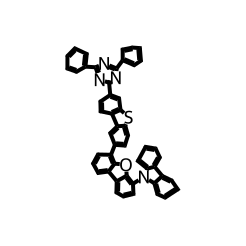 c1ccc(-c2nc(-c3ccccc3)nc(-c3ccc4c(c3)sc3ccc(-c5cccc6c5oc5c(-n7c8ccccc8c8ccccc87)cccc56)cc34)n2)cc1